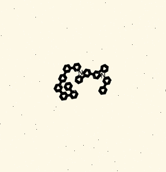 c1ccc(-c2cccc(-n3c4ccccc4c4cc(-c5ccc6c(c5)c5ccccc5n6-c5cccc(-c6cccc(-c7ccc(-c8cccc(-c9cccc(-c%10ccccc%10-c%10ccccc%10)c9)c8)cc7)c6)c5)ccc43)c2)cc1